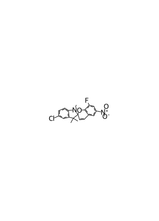 CN1c2ccc(Cl)cc2C(C)(C)C12C=Cc1cc([N+](=O)[O-])cc(F)c1O2